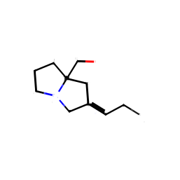 CC(C)C/C=C1/CN2CCCC2(CO)C1